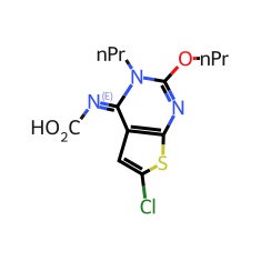 CCCOc1nc2sc(Cl)cc2/c(=N\C(=O)O)n1CCC